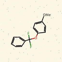 COc1ccc(OC(F)(F)c2ccccc2)cc1